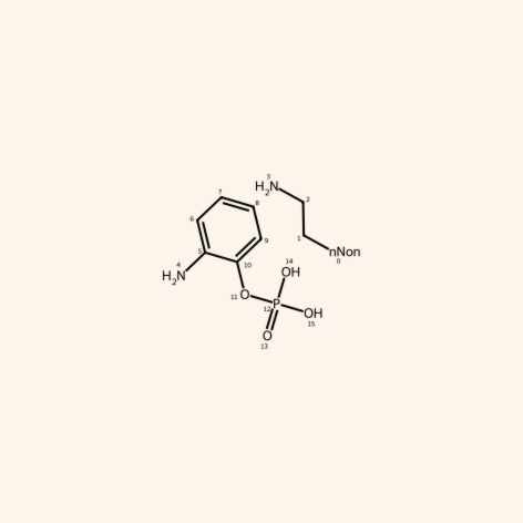 CCCCCCCCCCCN.Nc1ccccc1OP(=O)(O)O